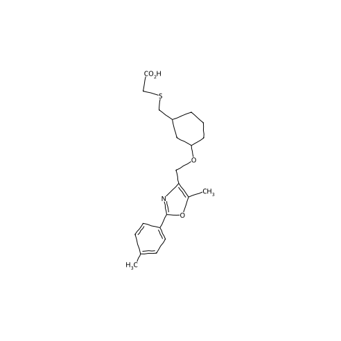 Cc1ccc(-c2nc(COC3CCCC(CSCC(=O)O)C3)c(C)o2)cc1